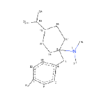 Cc1ccc(CC2(N(C)C)CCC(C(C)C)CC2)cc1